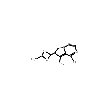 CC1=C2C(Cl)=NC=NN2CC1C1OC(C)O1